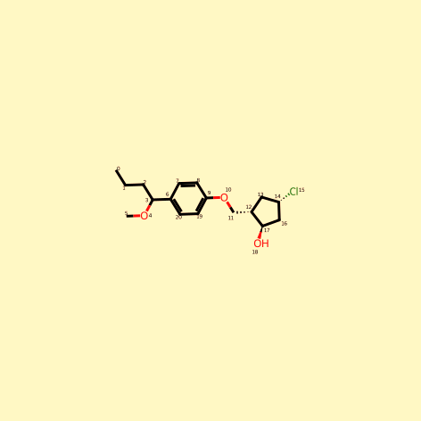 CCCC(OC)c1ccc(OC[C@@H]2C[C@H](Cl)C[C@H]2O)cc1